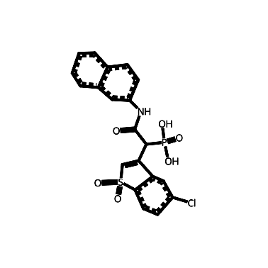 O=C(Nc1ccc2ccccc2c1)C(C1=CS(=O)(=O)c2ccc(Cl)cc21)P(=O)(O)O